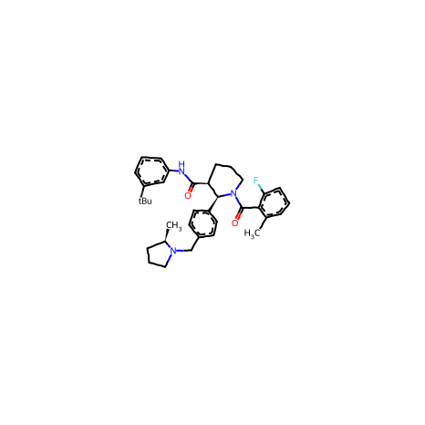 Cc1cccc(F)c1C(=O)N1CCC[C@H](C(=O)Nc2cccc(C(C)(C)C)c2)[C@@H]1c1ccc(CN2CCC[C@H]2C)cc1